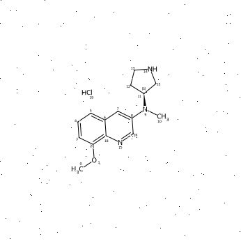 COc1cccc2cc(N(C)[C@H]3CCNC3)cnc12.Cl